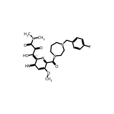 COC1=CC(=N)/C(=C(\O)C(=O)C(=O)N(C)C)N=C1C(=O)N1CCCN(Cc2ccc(F)cc2)CC1